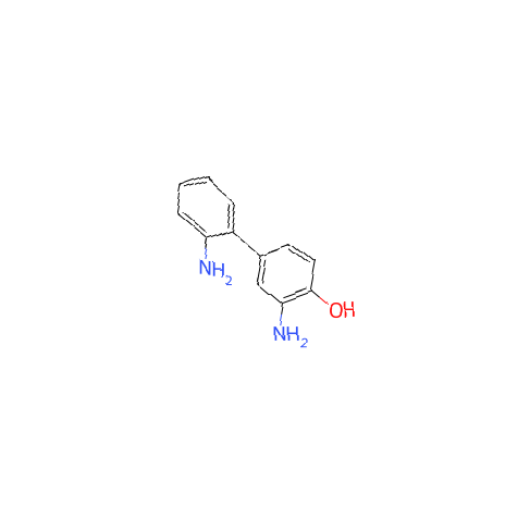 Nc1cc(-c2ccccc2N)ccc1O